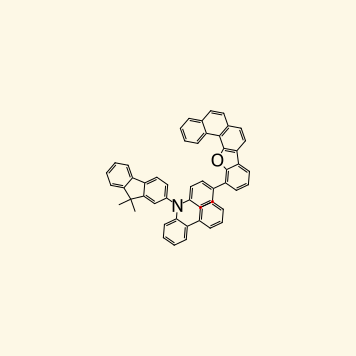 CC1(C)c2ccccc2-c2ccc(N(c3ccc(-c4cccc5c4oc4c5ccc5ccc6ccccc6c54)cc3)c3ccccc3-c3ccccc3)cc21